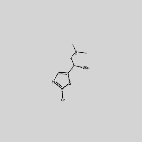 C[SiH](C)OC(c1cnc(Br)s1)C(C)(C)C